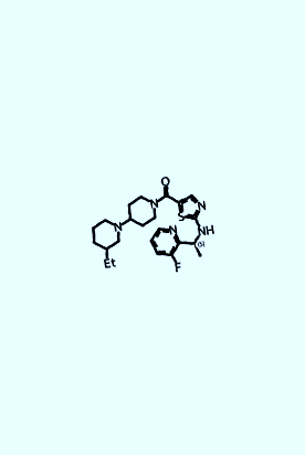 CCC1CCCN(C2CCN(C(=O)c3cnc(N[C@@H](C)c4ncccc4F)s3)CC2)C1